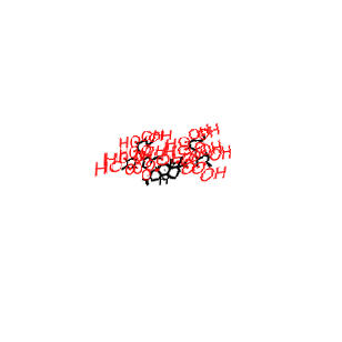 C=C(C)[C@]1(OC2OC(CO)C(O)C(OC3OC(CO)C(O)C(O)C3O)C2OC2OC(CO)C(O)CC2O)CC[C@@H]2[C@@](C)(CC[C@H]3[C@@]2(C)CCC[C@@]3(C)C(=O)OC2OC(CO)C(O)C(O)C2OC2OC(CO)C(O)C(O)C2O)C1